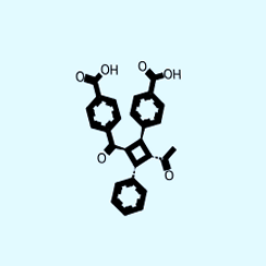 CC(=O)[C@@H]1[C@H](c2ccccc2)[C@@H](C(=O)c2ccc(C(=O)O)cc2)[C@H]1c1ccc(C(=O)O)cc1